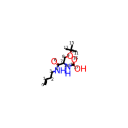 C=CCCNC(=O)C(COC(C)(C)C)NC(=O)O